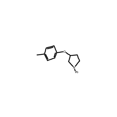 Cc1ccc(OC2CCN(C(C)C)C2)cc1